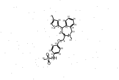 Cc1csc(C2N=C(COc3ccc(NS(C)(=O)=O)cc3)N(C)Cc3ccccc32)c1